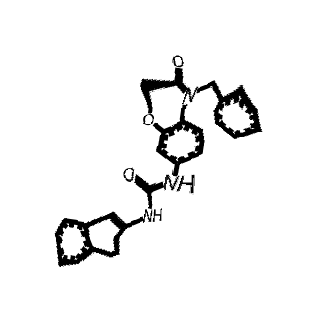 O=C(Nc1ccc2c(c1)OCC(=O)N2Cc1ccccc1)NC1Cc2ccccc2C1